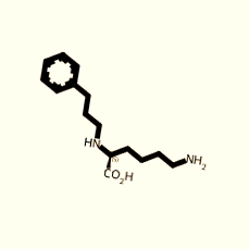 NCCCC[C@H](NCCCc1ccccc1)C(=O)O